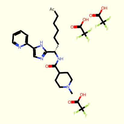 CC(=O)CCCCC[C@H](NC(=O)C1CCN(C)CC1)c1ncc(-c2ccccn2)[nH]1.O=C(O)C(F)(F)F.O=C(O)C(F)(F)F.O=C(O)C(F)(F)F